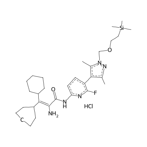 Cc1nn(COCC[Si](C)(C)C)c(C)c1-c1ccc(NC(=O)C(N)=C(C2CCCCC2)C2CCCCC2)nc1F.Cl